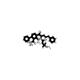 CC(C)NC(=O)c1c(-c2ccccc2)ccc(C(=O)C(CCCc2ccccc2)NC(=O)CC(C)(C)N)c1N